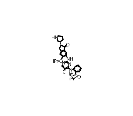 CC(C)Oc1cc2c(cc1Nc1ncc(Cl)c(Nc3ccccc3S(=O)(=O)C(C)C)n1)C(=O)C([C@@H]1CCCNC1)C2